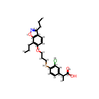 CCCc1noc2c(CCC)c(OCCCSc3ccc(C(C)C(=O)O)cc3Cl)ccc12